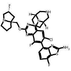 Nc1nc2c(-c3c(Cl)cc4c(N5[C@@H]6CNC[C@H]5COC6)nc(OC[C@@]56CCCN5C[C@H](F)C6)nc4c3F)ccc(F)c2s1